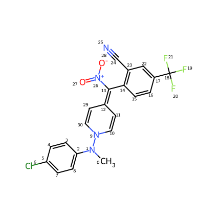 CN(c1ccc(Cl)cc1)N1C=CC(=C(c2ccc(C(F)(F)F)cc2C#N)[N+](=O)[O-])C=C1